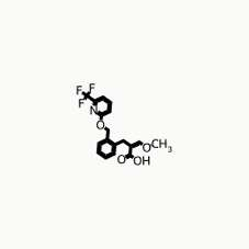 COC=C(Cc1ccccc1COc1cccc(C(F)(F)F)n1)C(=O)O